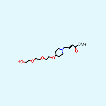 COC(=O)/C=C/CN1CCC(OCCOCCOCCO)CC1